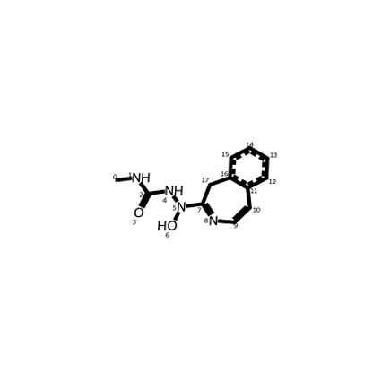 CNC(=O)NN(O)C1=NC=Cc2ccccc2C1